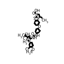 CCC1=CN(C(=O)O)C2Sc3ccc(Oc4ccc(NC(=O)Nc5cc(C(C)(C)C)nn5-c5ccc(OC)c(Cl)c5)cc4)cc3N12